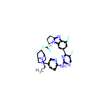 CCN1CC2CCC(C1)N2Cc1ccc(Nc2ncc(F)c(-c3cc(F)c4nc5n(c4c3)[C@H](C(F)F)CC5)n2)nc1